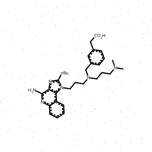 CCCCc1nc2c(N)nc3ccccc3c2n1CCCN(CCCN(C)C)Cc1cccc(CC(=O)O)c1